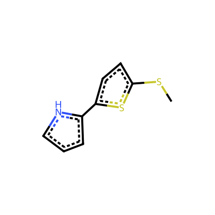 CSc1ccc(-c2ccc[nH]2)s1